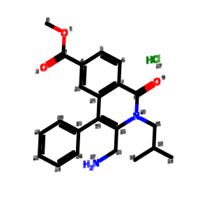 COC(=O)c1ccc2c(=O)n(CC(C)C)c(CN)c(-c3ccccc3)c2c1.Cl